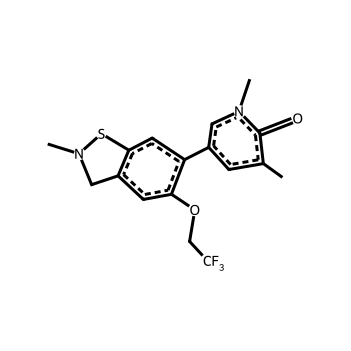 Cc1cc(-c2cc3c(cc2OCC(F)(F)F)CN(C)S3)cn(C)c1=O